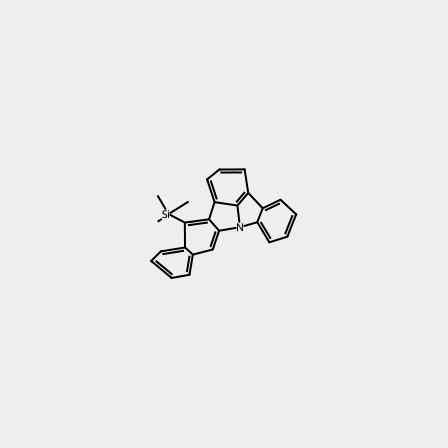 C[Si](C)(C)c1c2ccccc2cc2c1c1cccc3c4ccccc4n2c31